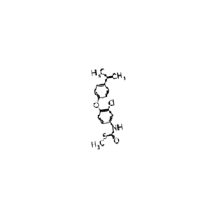 CSC(=O)Nc1ccc(Oc2ccc(C(C)C)cc2)c(Cl)c1